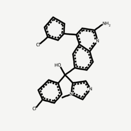 Cn1cncc1C(O)(c1ccc(Cl)cc1)c1ccc2nc(N)cc(-c3cccc(Cl)c3)c2c1